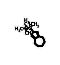 C[SiH](C1C=C2CCCCCC2=C1)[Si](C)(C)C